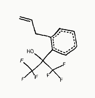 C=CCc1ccccc1C(O)(C(F)(F)F)C(F)(F)F